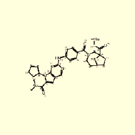 CN(C)C(=O)c1cc2cnc(Nc3ccc(C(=O)N4CCC5CCC(C(=O)OC(C)(C)C)(C4)N5)cn3)nc2n1C1CCCC1